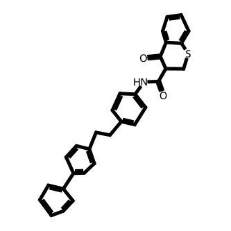 O=C(Nc1ccc(CCc2ccc(-c3ccccc3)cc2)cc1)C1CSc2ccccc2C1=O